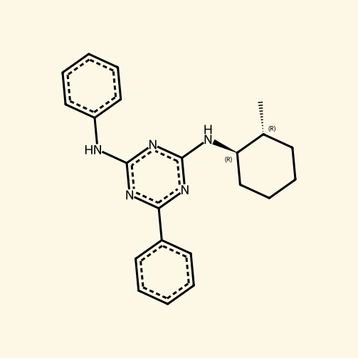 C[C@@H]1CCCC[C@H]1Nc1nc(Nc2ccccc2)nc(-c2ccccc2)n1